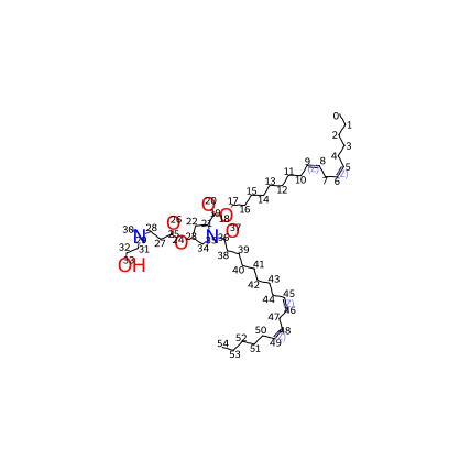 CCCCC/C=C\C/C=C\CCCCCCCCOC(=O)C1CC(OC(=O)CCN(C)CCO)CN1C(=O)CCCCCCC/C=C\C/C=C\CCCCC